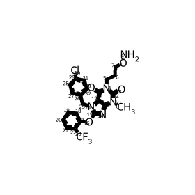 Cn1c(=O)n(CCCON)c(=O)c2c1nc(Oc1ccccc1C(F)(F)F)n2Cc1ccc(Cl)cc1